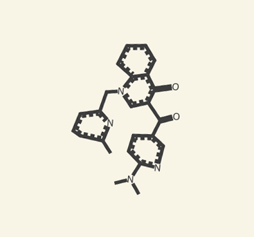 Cc1cccc(Cn2cc(C(=O)c3ccc(N(C)C)nc3)c(=O)c3ccccc32)n1